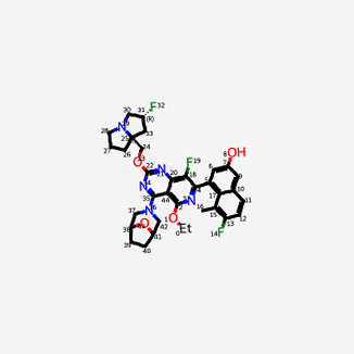 CCOc1nc(-c2cc(O)cc3ccc(F)c(C)c23)c(F)c2nc(OC[C@@]34CCCN3C[C@H](F)C4)nc(N3CC4CCC(C3)O4)c12